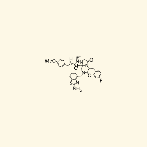 COc1ccc(CNC(=O)N(C(C)C)N2CC(=O)N3[C@@H](Cc4ccc(F)cc4)C(=O)N(Cc4cccc5sc(N)nc45)C[C@@H]32)cc1